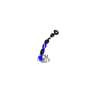 C=C1N(c2ccc(N3CCN(c4ccc(CC[C@@H]5CCC(C6CCCCC6)C5)cc4)CC3)cc2)C=NN1C(C)CC